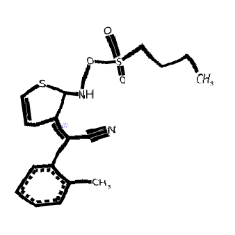 CCCCS(=O)(=O)ONC1SC=C/C1=C(/C#N)c1ccccc1C